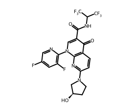 O=C(NC(C(F)(F)F)C(F)(F)F)c1cn(-c2ncc(F)cc2F)c2nc(N3CC[C@@H](O)C3)ccc2c1=O